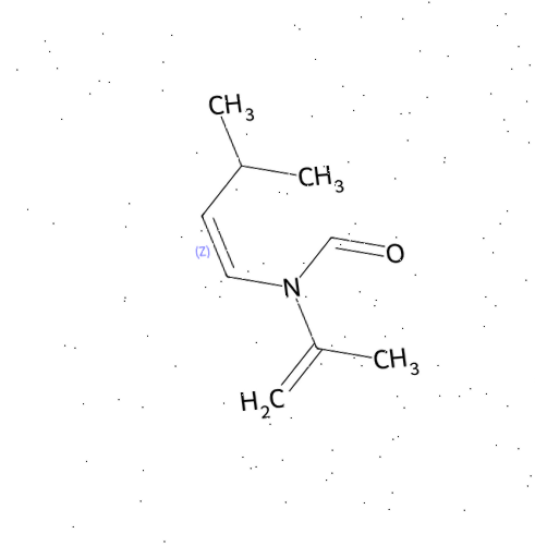 C=C(C)N(C=O)/C=C\C(C)C